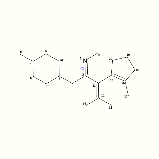 C/N=C(/CC1CCC(C)CC1)C(=C(C)C)C1=C(C)CCC1